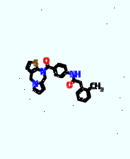 Cc1ccccc1CC(=O)Nc1ccc(C(=O)N2Cc3cccn3Cc3ccsc32)cc1